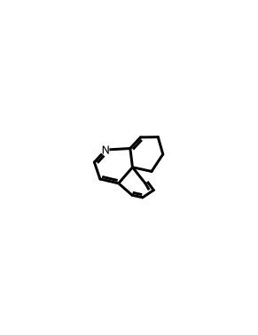 C1=CC2=CC=NC3=CCCCC23C=C1